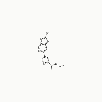 CCOC(C)n1cc(-c2cc3nc(Br)nn3cn2)cn1